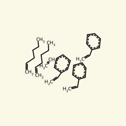 C=C.C=CCCCC.C=CCCCC.C=Cc1ccccc1.C=Cc1ccccc1.C=Cc1ccccc1